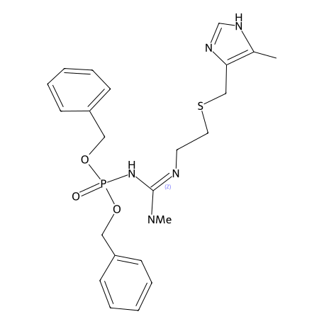 CN/C(=N/CCSCc1nc[nH]c1C)NP(=O)(OCc1ccccc1)OCc1ccccc1